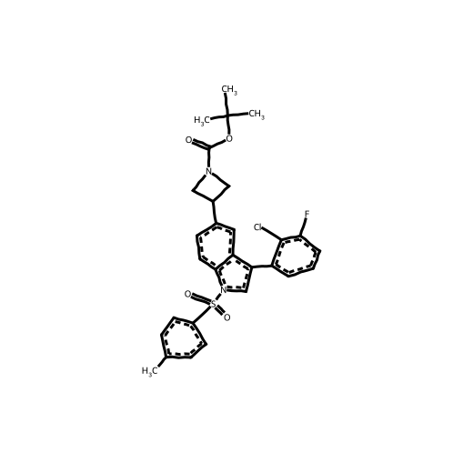 Cc1ccc(S(=O)(=O)n2cc(-c3cccc(F)c3Cl)c3cc(C4CN(C(=O)OC(C)(C)C)C4)ccc32)cc1